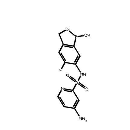 Nc1ccnc(S(=O)(=O)Nc2cc3c(cc2F)COB3O)c1